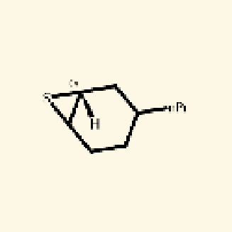 CCCC1CCC2S[C@@H]2C1